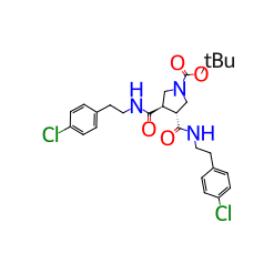 CC(C)(C)OC(=O)N1C[C@H](C(=O)NCCc2ccc(Cl)cc2)[C@@H](C(=O)NCCc2ccc(Cl)cc2)C1